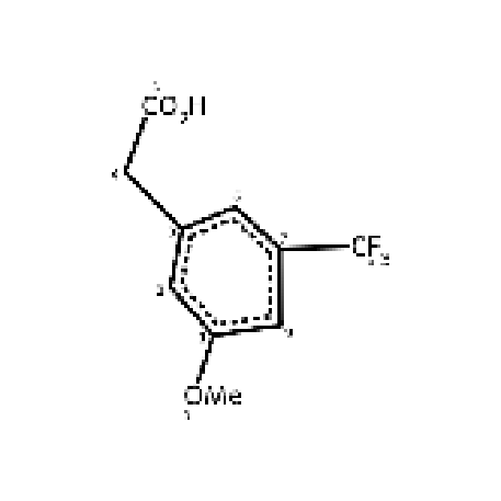 COc1cc(CC(=O)O)cc(C(F)(F)F)c1